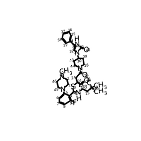 CN1CCN(c2cccc(F)c2C(NCCC(C)(C)C)SC(C=O)CC(=O)N2CCC(n3cc(-c4ccccc4)[nH]c3=O)CC2)CC1